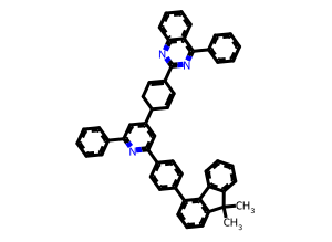 CC1(C)c2ccccc2-c2c(-c3ccc(-c4cc(C5C=CC(c6nc(-c7ccccc7)c7ccccc7n6)=CC5)cc(-c5ccccc5)n4)cc3)cccc21